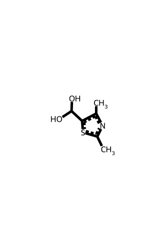 Cc1nc(C)c(C(O)O)s1